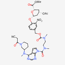 COC(=O)[C@@H]1C[C@H](OC(C)=O)C[C@H](Oc2ccc(COC(=O)N(C)CCN(C)C(=O)n3ccc4c(N(C)[C@@H]5CCCN(C(=O)CC#N)C5)ncnc43)cc2[N+](=O)[O-])O1